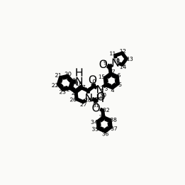 O=C(Nc1cccc(C(=O)N2CCCC2)c1)C1c2[nH]c3ccccc3c2CCN1C(=O)OCc1ccccc1